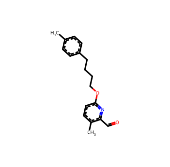 Cc1ccc(CCCCOc2ccc(C)c(C=O)n2)cc1